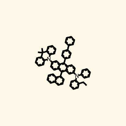 CCc1ccccc1N(c1ccccc1)c1ccc2c(-c3ccc(-c4ccccc4)cc3)c3cc(N4c5ccccc5C(C)(C)c5ccccc54)ccc3c(-c3cccc4ccccc34)c2c1